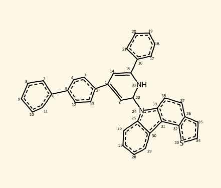 C1=C(c2ccc(-c3ccccc3)cc2)C=C(c2ccccc2)NC1n1c2ccccc2c2c3sccc3ccc21